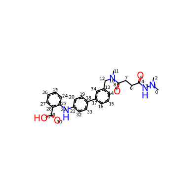 CN(C)NC(=O)CCC(=O)N(C)Cc1cccc(-c2ccc(Nc3ccccc3C(=O)O)cc2)c1